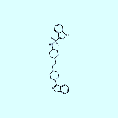 O=S(=O)(NC1CCC(CCN2CCN(c3nsc4ccccc34)CC2)CC1)c1c[nH]c2ccccc12